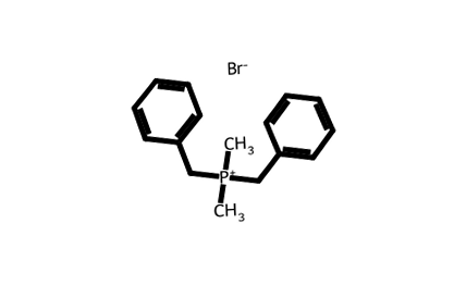 C[P+](C)(Cc1ccccc1)Cc1ccccc1.[Br-]